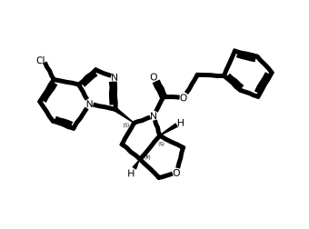 O=C(OCc1ccccc1)N1[C@@H]2COC[C@@H]2C[C@H]1c1ncc2c(Cl)cccn12